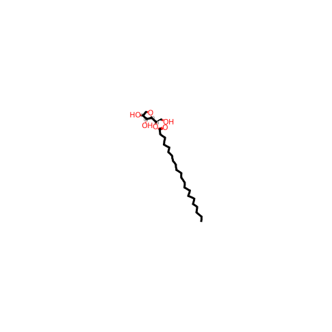 CCCCCCCCCCCCCCCCCCCCCC(=O)O[C@H](CO)[C@H]1OC[C@H](O)[C@H]1O